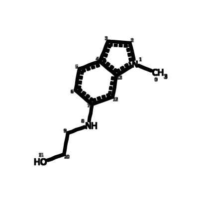 Cn1ccc2ccc(NCCO)cc21